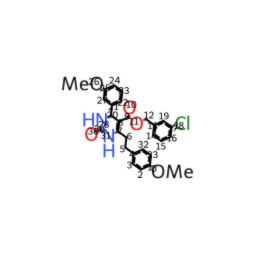 COc1ccc(CCC2=C(C(=O)OCc3cccc(Cl)c3)C(c3cccc(OC)c3)NC(=O)N2)cc1